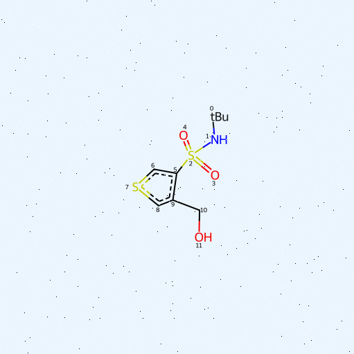 CC(C)(C)NS(=O)(=O)c1cscc1CO